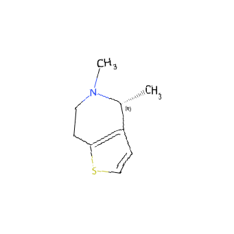 C[C@@H]1c2ccsc2CCN1C